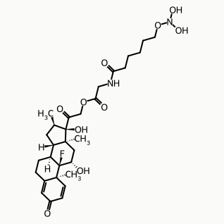 C[C@@H]1C[C@H]2[C@@H]3CCC4=CC(=O)C=C[C@]4(C)[C@@]3(F)[C@@H](O)C[C@]2(C)[C@@]1(O)C(=O)COC(=O)CNC(=O)CCCCCON(O)O